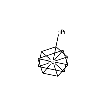 CCC[C]12[CH]3[CH]4[CH]5[CH]1[Fe]45321678[CH]2[CH]1[CH]6[CH]7[CH]28